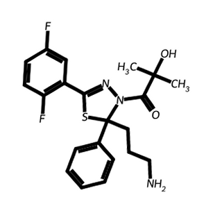 CC(C)(O)C(=O)N1N=C(c2cc(F)ccc2F)SC1(CCCN)c1ccccc1